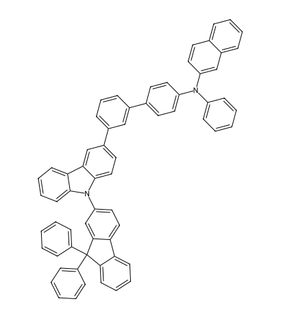 c1ccc(N(c2ccc(-c3cccc(-c4ccc5c(c4)c4ccccc4n5-c4ccc5c(c4)C(c4ccccc4)(c4ccccc4)c4ccccc4-5)c3)cc2)c2ccc3ccccc3c2)cc1